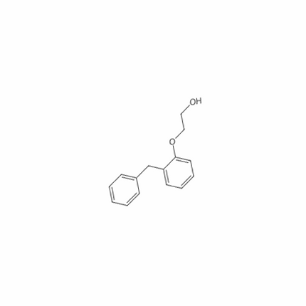 OCCOc1ccccc1Cc1ccccc1